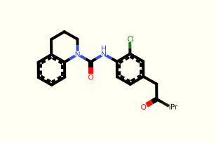 CC(C)C(=O)Cc1ccc(NC(=O)N2CCCc3ccccc32)c(Cl)c1